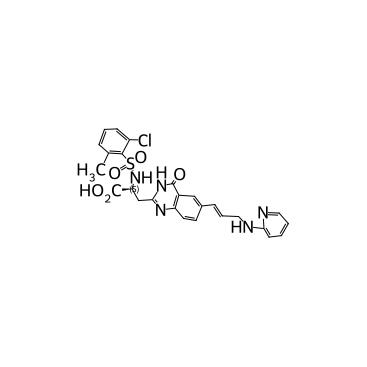 Cc1cccc(Cl)c1S(=O)(=O)N[C@@H](Cc1nc2ccc(C=CCNc3ccccn3)cc2c(=O)[nH]1)C(=O)O